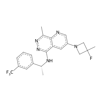 Cc1nnc(N[C@H](C)c2cccc(C(F)(F)F)c2)c2cc(N3CC(C)(F)C3)cnc12